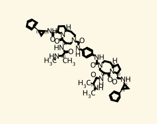 CN[C@@H](C)C(=O)N[C@H]1CN(C(=O)Nc2ccc(NC(=O)N3CC[C@H]4CC[C@@H](C(=O)N[C@H]5C[C@H]5c5ccccc5)N4C(=O)[C@@H](NC(=O)[C@H](C)NC)C3)cc2)CC[C@H]2CC[C@@H](C(=O)N[C@H]3C[C@H]3c3ccccc3)N2C1=O